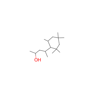 CC(O)CC(C)C1C(C)CC(C)(C)CC1(C)C